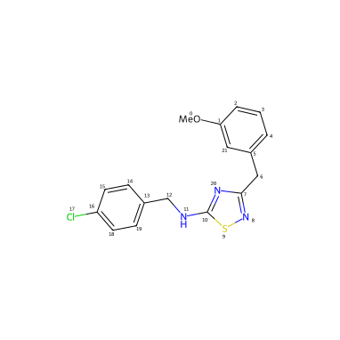 COc1cccc(Cc2nsc(NCc3ccc(Cl)cc3)n2)c1